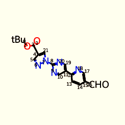 CC(C)(C)OC(=O)c1cnn(-c2ncc(-c3ccc(C=O)cn3)cn2)c1